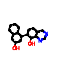 Oc1cc(-c2ccc3cncnc3c2O)c2ccccc2c1